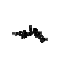 Cc1ccc(S(=O)(=O)N[C@@H](CC(C)C)CN2CC(O)C(NC(=O)[C@H](CC(C)C)NC(=O)c3ccc4c(c3)CCCN4)C2)cc1